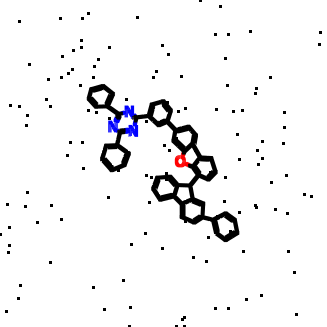 c1ccc(-c2ccc3c(c2)C(c2cccc4c2oc2cc(-c5cccc(-c6nc(-c7ccccc7)nc(-c7ccccc7)n6)c5)ccc24)c2ccccc2-3)cc1